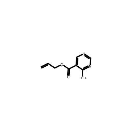 C=CCOC(=O)c1cncnc1O